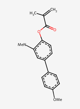 C=C(C)C(=O)Oc1ccc(-c2ccc(OC)cc2)cc1NC